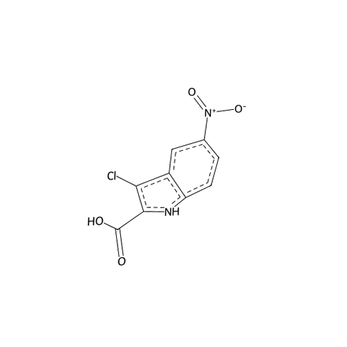 O=C(O)c1[nH]c2ccc([N+](=O)[O-])cc2c1Cl